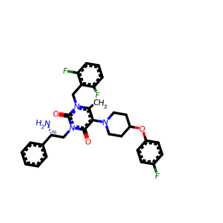 Cc1c(N2CCC(Oc3ccc(F)cc3)CC2)c(=O)n(C[C@@H](N)c2ccccc2)c(=O)n1Cc1c(F)cccc1F